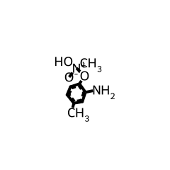 Cc1ccc(O[N+](C)([O-])O)c(N)c1